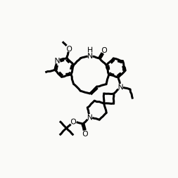 CCN(c1cccc2c1C/C=C/CCc1cc(C)nc(OC)c1CNC2=O)C1CC2(CCN(C(=O)OC(C)(C)C)CC2)C1